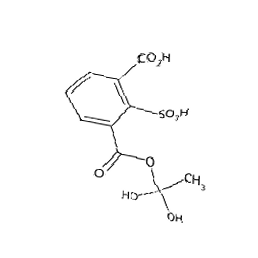 CC(O)(O)OC(=O)c1cccc(C(=O)O)c1S(=O)(=O)O